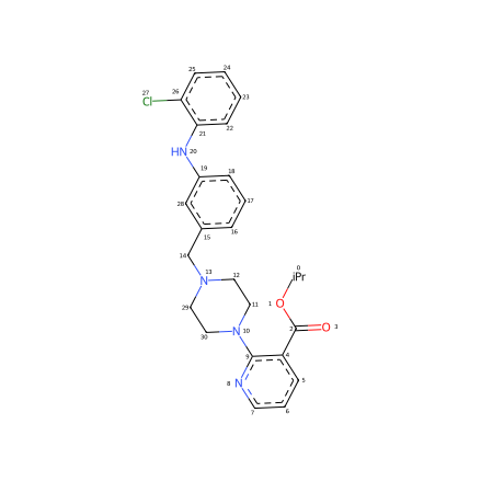 CC(C)OC(=O)c1cccnc1N1CCN(Cc2cccc(Nc3ccccc3Cl)c2)CC1